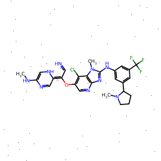 CNC1=CN/C(=C(\C=N)Oc2cnc3nc(Nc4cc(C5CCCN5C)cc(C(F)(F)F)c4)n(C)c3c2Cl)C=N1